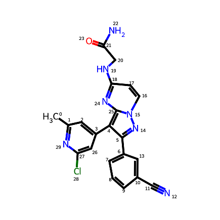 Cc1cc(-c2c(-c3cccc(C#N)c3)nn3ccc(NCC(N)=O)nc23)cc(Cl)n1